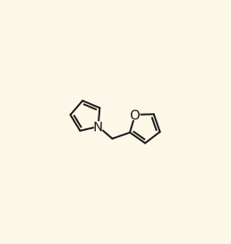 c1coc(Cn2cccc2)c1